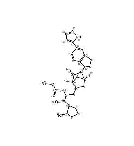 CC(C)(C)OC(=O)N[C@@H](CN1C[C@@H]2C[C@H]1C(=O)N2[C@@H]1CCc2cc(-c3nnn[nH]3)ccc21)C(=O)N1CCC[C@H]1C#N